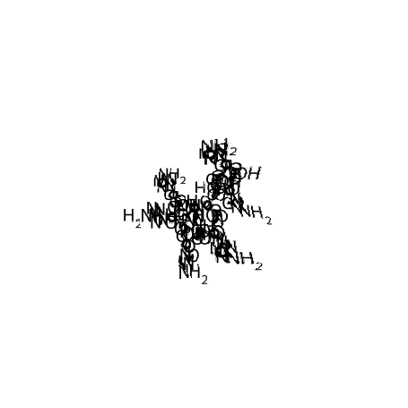 NC1=Nc2c(ncn2[C@H]2C[C@@H](OP(=O)(O)OC[C@H]3O[C@@H](n4cnc5c(N)ncnc54)C[C@H]3OP(=O)(O)OC[C@H]3O[C@@H](n4ccc(N)nc4=O)C[C@H]3OP(O)(=S)OC[C@H]3O[C@@H](n4cnc5c(N)ncnc54)C[C@H]3OP(O)(=S)OC[C@H]3O[C@@H](n4cnc5c(N)ncnc54)C[C@H]3O)[C@@H](COP(=O)(O)O[C@@H]3C[C@H](n4ccc(N)nc4=O)O[C@@H]3COP(=O)(O)O[C@@H]3C[C@H](n4cnc5c(N)ncnc54)O[C@@H]3COP(=O)(O)O)O2)C(O)N1